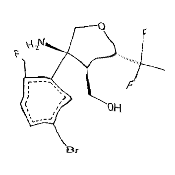 CC(F)(F)[C@H]1OC[C@@](N)(c2cc(Br)ccc2F)[C@@H]1CO